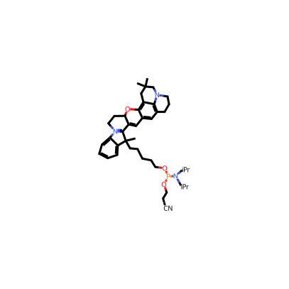 CC(C)N(C(C)C)P(OCCC#N)OCCCCCC1(C)C2=[N+](CCC3Oc4c(cc5c6c4CC(C)(C)CN6CCC5)C=C23)c2ccccc21